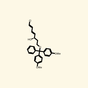 COc1ccc(C(OCC[C@@H](O)/C=C/C=C/Cl)(c2ccccc2)c2ccc(OC)cc2)cc1